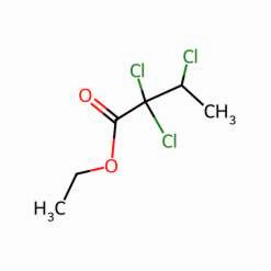 CCOC(=O)C(Cl)(Cl)C(C)Cl